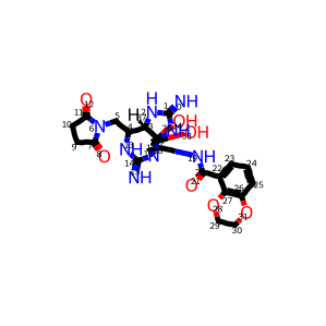 N=C1N[C@H]2C(CN3C(=O)CCC3=O)NC(=N)N3CC(NC(=O)c4cccc5c4OCCO5)C(O)(O)[C@]23N1